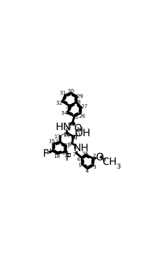 COc1cccc(CNC[C@@H](O)[C@H](Cc2cc(F)cc(F)c2)NC(=O)c2ccc3ccccc3c2)c1